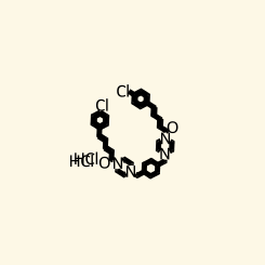 Cl.Cl.O=C(C=CC=Cc1ccc(Cl)cc1)N1CCN(CC2CCC(CN3CCN(C(=O)C=CC=Cc4ccc(Cl)cc4)CC3)CC2)CC1